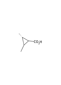 CC1C(C(=O)O)[C@H]1C